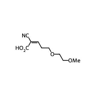 COCCOCCC=C(C#N)C(=O)O